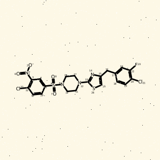 O=[N+]([O-])c1cc(S(=O)(=O)N2CCN(c3nc(Cc4ccc(Cl)c(F)c4)cs3)CC2)ccc1Cl